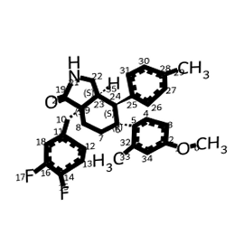 COc1ccc([C@@H]2CC[C@@]3(Cc4ccc(F)c(F)c4)C(=O)NC[C@H]3[C@H]2c2ccc(C)cc2)c(C)c1